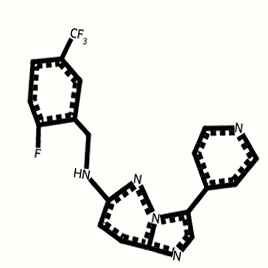 Fc1ccc(C(F)(F)F)cc1CNc1ccc2ncc(-c3ccncc3)n2n1